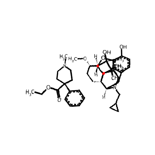 CCOC(=O)C1(c2ccccc2)CCN(C)CC1.CO[C@@]12CC[C@@]3(C[C@@H]1[C@](C)(O)C(C)(C)C)[C@H]1Cc4ccc(O)c5c4[C@@]3(CCN1CC1CC1)[C@H]2O5